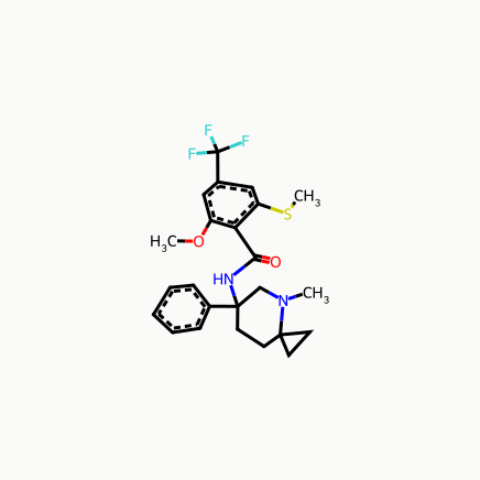 COc1cc(C(F)(F)F)cc(SC)c1C(=O)NC1(c2ccccc2)CCC2(CC2)N(C)C1